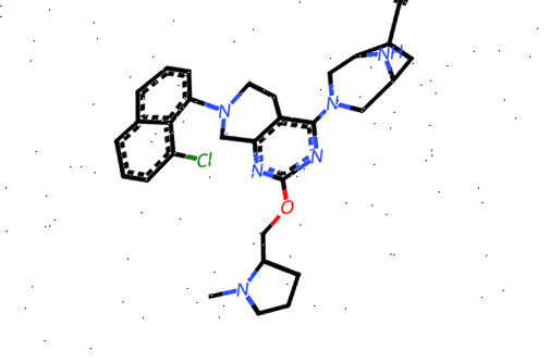 CN1CCCC1COc1nc2c(c(N3CC4CC(C#N)C(C3)N4)n1)CCN(c1cccc3cccc(Cl)c13)C2